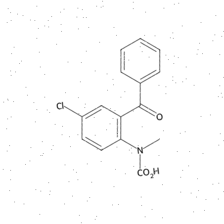 CN(C(=O)O)c1ccc(Cl)cc1C(=O)c1ccccc1